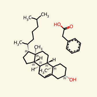 CC(C)CCCC(C)[C@H]1CC[C@H]2[C@@H]3CC=C4C[C@@H](O)CC[C@]4(C)[C@H]3CC[C@]12C.O=C(O)Cc1ccccc1